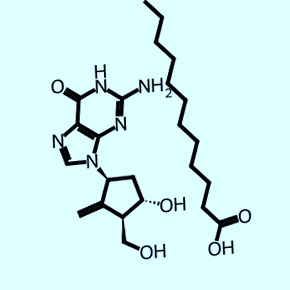 C=C1[C@H](CO)[C@@H](O)C[C@@H]1n1cnc2c(=O)[nH]c(N)nc21.CCCCCCCCCCCC(=O)O